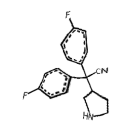 N#CC(c1ccc(F)cc1)(c1ccc(F)cc1)C1CCNC1